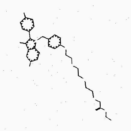 CCOC(=O)COCCOCCOCCOc1ccc(Cn2c(-c3ccc(F)cc3)c(C)c3cc(O)ccc32)cc1